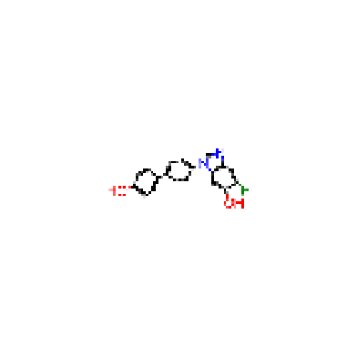 Oc1ccc(-c2ccc(-n3cnc4cc(F)c(O)cc43)cc2)cc1